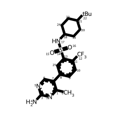 Cc1nc(N)ncc1-c1ccc(C(F)(F)F)c(S(=O)(=O)NC2CCC(C(C)(C)C)CC2)c1